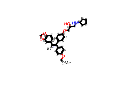 CC/C(=C(\c1ccc(OCOC)cc1)c1ccc(OCC(O)CNC2CCCC2)cc1)c1ccc2c(c1)OCO2